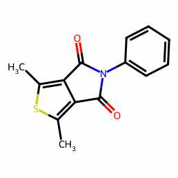 Cc1sc(C)c2c1C(=O)N(c1ccccc1)C2=O